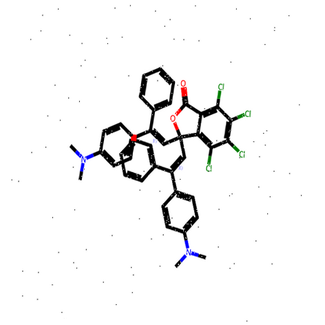 CN(C)c1ccc(/C(=C/C2(/C=C(\c3ccccc3)c3ccc(N(C)C)cc3)OC(=O)c3c(Cl)c(Cl)c(Cl)c(Cl)c32)c2ccccc2)cc1